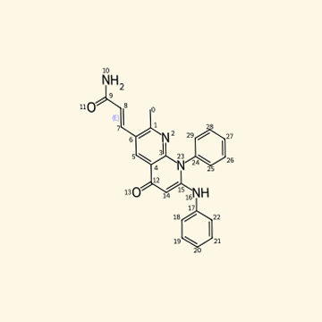 Cc1nc2c(cc1/C=C/C(N)=O)c(=O)cc(Nc1ccccc1)n2-c1ccccc1